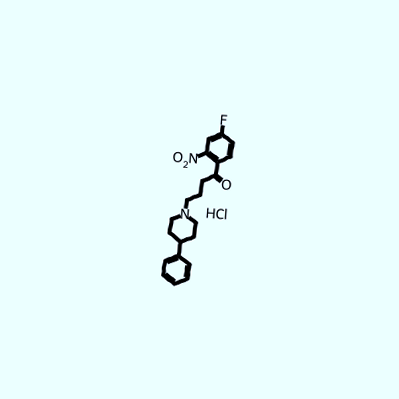 Cl.O=C(CCCN1CCC(c2ccccc2)CC1)c1ccc(F)cc1[N+](=O)[O-]